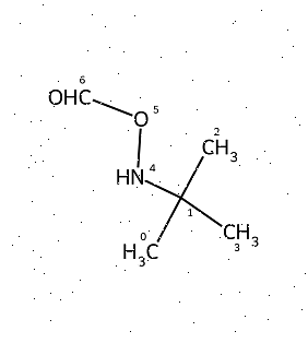 CC(C)(C)NOC=O